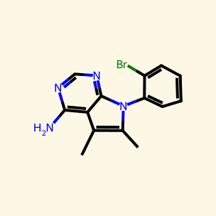 Cc1c(C)n(-c2ccccc2Br)c2ncnc(N)c12